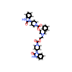 O=C(OCCN(CCOC(=O)N1CCC(n2c(=O)[nH]c3ccccc32)CC1)Cc1ccccc1)N1CCC(n2c(=O)[nH]c3ccccc32)CC1